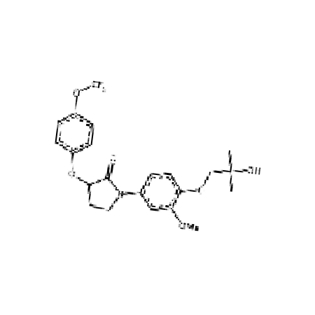 COc1cc(N2CCC(Oc3ccc(OC(F)(F)F)cc3)C2=O)ccc1OCC(C)(C)O